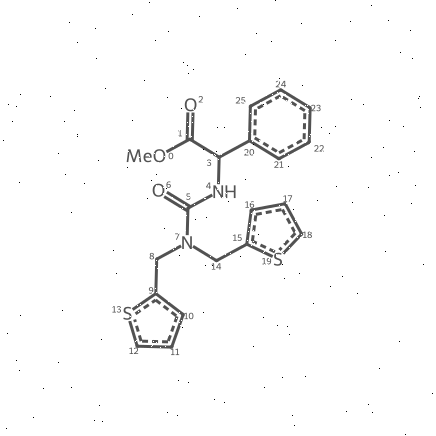 COC(=O)C(NC(=O)N(Cc1cccs1)Cc1cccs1)c1ccccc1